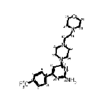 Nc1nc(-c2ccc(C(F)(F)F)cc2)cc(N2CCN(CCN3CCOCC3)CC2)n1